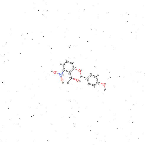 COc1ccc(COc2cccc([N+](=O)[O-])c2C(C)=O)cc1